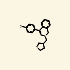 Clc1ccc(C2=NN(CC3CCOC3)Cc3ccccc32)cc1